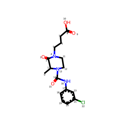 CC1C(=O)N(CCCC(=O)O)CCN1C(=O)Nc1cccc(Cl)c1